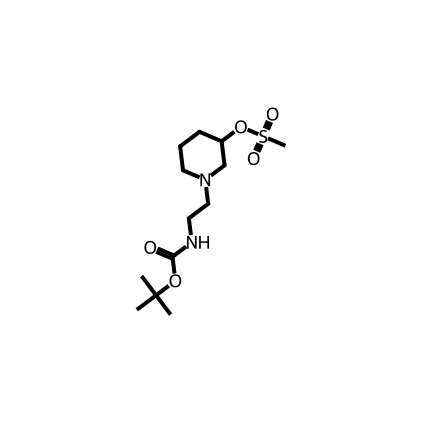 CC(C)(C)OC(=O)NCCN1CCCC(OS(C)(=O)=O)C1